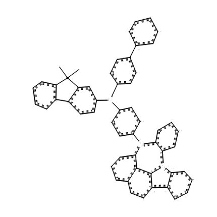 CC1(C)c2ccccc2-c2ccc(N(c3ccc(-c4ccccc4)cc3)c3ccc(-n4c5cccc6ccc7c8ccccc8n(c8ccccc84)c7c65)cc3)cc21